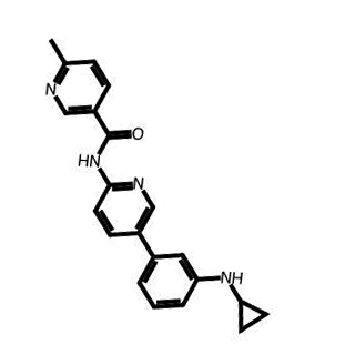 Cc1ccc(C(=O)Nc2ccc(-c3cccc(NC4CC4)c3)cn2)cn1